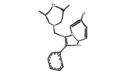 CC1CN(CC2=C(c3ccccc3)NC3C=CC(Cl)=CN23)CC(C)O1